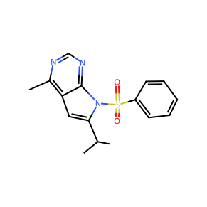 Cc1ncnc2c1cc(C(C)C)n2S(=O)(=O)c1ccccc1